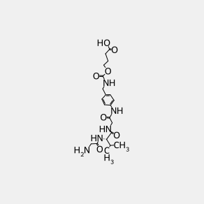 CC(C)[C@H](NC(=O)CN)C(=O)NCC(=O)Nc1ccc(CNC(=O)OCCCC(=O)O)cc1